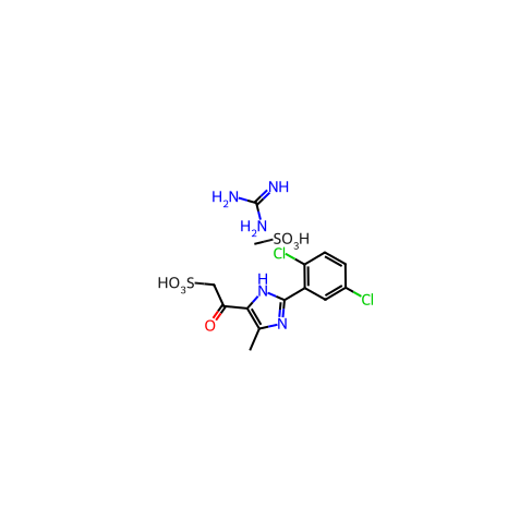 CS(=O)(=O)O.Cc1nc(-c2cc(Cl)ccc2Cl)[nH]c1C(=O)CS(=O)(=O)O.N=C(N)N